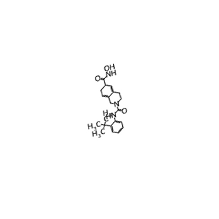 CC(C)(C)c1ccccc1NC(=O)N1CCC2=CC(C(=O)NO)CC=C2C1